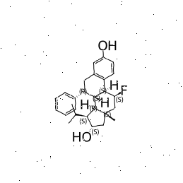 CC(C)[C@H]1[C@H]2[C@H]3[C@@H](c4ccc(O)cc4C[C@H]3c3ccccc3)[C@@H](F)C[C@]2(C)C[C@@H]1O